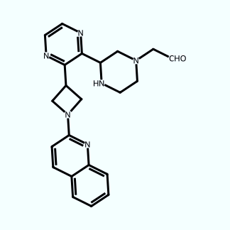 O=CCN1CCNC(c2nccnc2C2CN(c3ccc4ccccc4n3)C2)C1